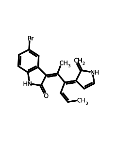 C=c1[nH]ccc1=C(/C=C\C)C(C)=C1C(=O)Nc2ccc(Br)cc21